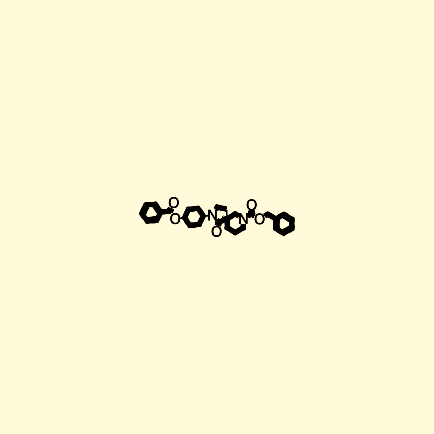 O=C(O[C@H]1CC[C@@H](N2CC[C@]3(CCCN(C(=O)OCc4ccccc4)C3)C2=O)CC1)c1ccccc1